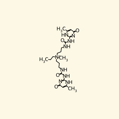 CCC[N+](C)(CCCNC(=O)Nc1nc(=O)cc(C)[nH]1)CCCNC(=O)Nc1nc(=O)cc(C)[nH]1